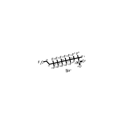 O=S(=O)([O-])C(F)(F)C(F)(F)C(F)(F)C(F)(F)C(F)(F)C(F)(F)C(F)(F)CCC(F)(F)F.[Na+]